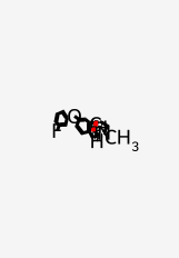 CN1CC[C@]23CCCC[C@H]2[C@H]1Cc1ccc(Oc2cccc(F)c2)cc13